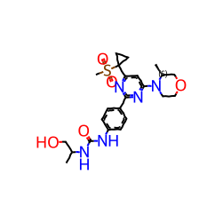 CC(CO)NC(=O)Nc1ccc(-c2nc(N3CCOC[C@@H]3C)cc(C3(S(C)(=O)=O)CC3)n2)cc1